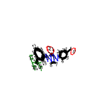 O=Cc1ccc(N2CCN(c3cccc(C(F)(F)F)c3)C2=O)cc1